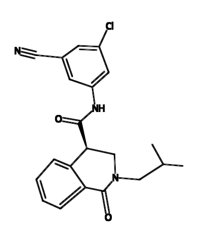 CC(C)CN1C[C@H](C(=O)Nc2cc(Cl)cc(C#N)c2)c2ccccc2C1=O